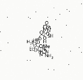 CC[C@]1(COP)O[C@@H](n2cnc3c(N)ncnc32)[C@H](OC)[C@@H]1COPOC[C@H]1O[C@@H](n2ccc(=O)n3ccnc23)[C@H](OS)[C@@H]1O